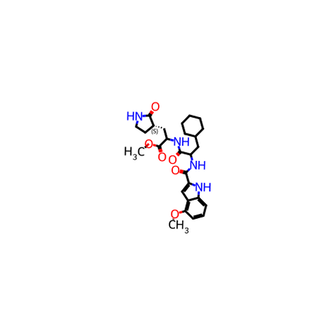 COC(=O)C(C[C@@H]1CCNC1=O)NC(=O)C(CC1CCCCC1)NC(=O)c1cc2c(OC)cccc2[nH]1